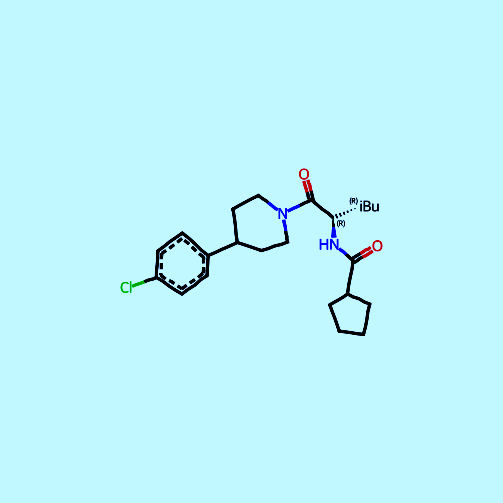 CC[C@@H](C)[C@@H](NC(=O)C1CCCC1)C(=O)N1CCC(c2ccc(Cl)cc2)CC1